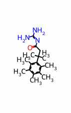 Cc1c(C)c(C)c(C(C)(C)CC(=O)N=C(N)N)c(C)c1C